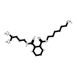 CCCCCCCOC(=O)C1CCCCC1C(=O)OCCCC(C)C